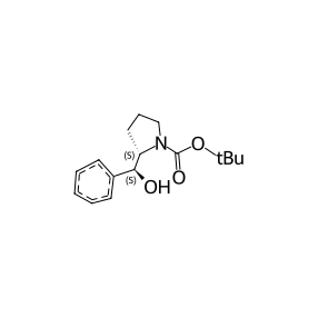 CC(C)(C)OC(=O)N1CCC[C@H]1[C@@H](O)c1ccccc1